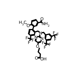 COc1ccc(C(N)=O)cc1-c1ccc(C(F)(F)F)cc1CN(Cc1cc(C(F)(F)F)cc(C(F)(F)F)c1)c1ncc(OCCCC(=O)O)cn1